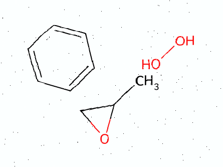 CC1CO1.OO.c1ccccc1